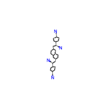 N#CC(=Cc1ccc2cc(C=C(C#N)c3ccc(C#N)cc3)ccc2c1)c1ccc(C#N)cc1